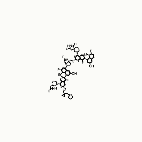 CCc1c(F)ccc2cc(O)cc(-c3ncc4c(N5CCCC6(CC(=O)NC6=O)C5)nc(OC[C@@]56CCC(c7cc(F)c(CC)c8c(-c9ncc%10c(N%11CCC[C@]%12(CC(=O)N%12)C%11)nc(OCC%11(CN%12CCCC%12)CC%11)nc%10c9F)cc(O)cc78)N5C[C@H](F)C6)nc4c3F)c12